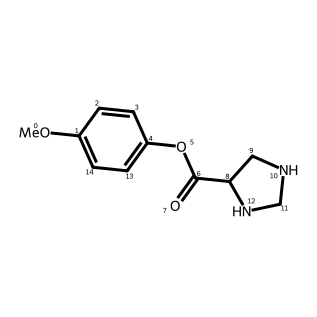 COc1ccc(OC(=O)C2CNCN2)cc1